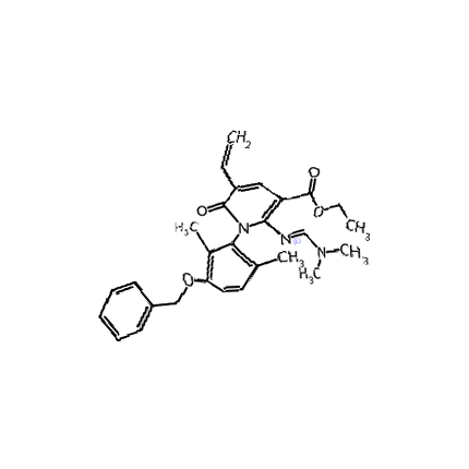 C=Cc1cc(C(=O)OCC)c(/N=C/N(C)C)n(-c2c(C)ccc(OCc3ccccc3)c2C)c1=O